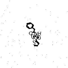 O=C(Cc1ccccc1)NS(=O)(=O)c1cccs1